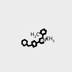 Cc1ccccc1-c1cc(-c2ccc(CC3CCCCC3)cc2)cc[n+]1C